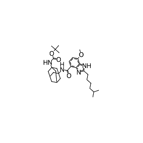 COc1ccc(C(=O)NC23CC4CC(CC(NC(=O)OC(C)(C)C)(C4)C2)C3)c2nc(CCCCC(C)C)[nH]c12